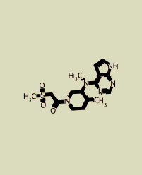 CC1CCN(C(=O)CS(C)(=O)=O)CC1N(C)c1ncnc2[nH]ccc12